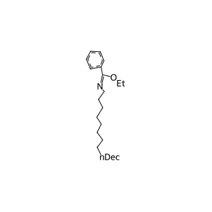 CCCCCCCCCCCCCCCCCCN=C(OCC)c1ccccc1